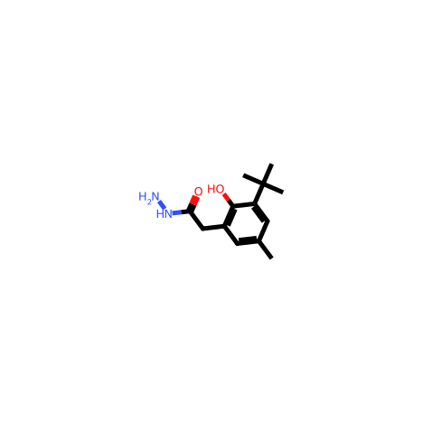 Cc1cc(CC(=O)NN)c(O)c(C(C)(C)C)c1